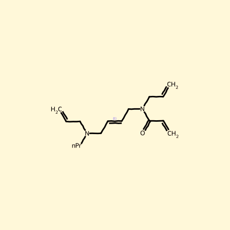 C=CCN(C/C=C/CN(CC=C)C(=O)C=C)CCC